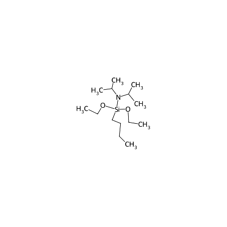 CCCC[Si](OCC)(OCC)N(C(C)C)C(C)C